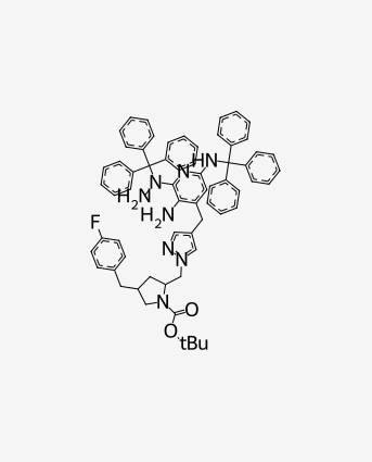 CC(C)(C)OC(=O)N1CC(Cc2ccc(F)cc2)CC1Cn1cc(Cc2cc(NC(c3ccccc3)(c3ccccc3)c3ccccc3)nc(N(N)C(c3ccccc3)(c3ccccc3)c3ccccc3)c2N)cn1